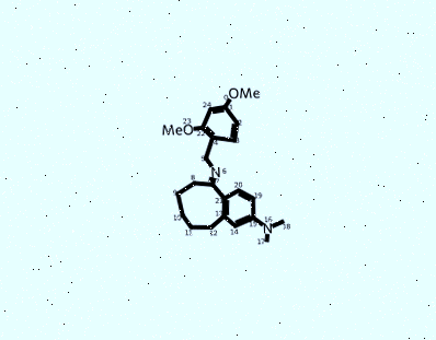 COc1ccc(CN=C2CCCCCc3cc(N(C)C)ccc32)c(OC)c1